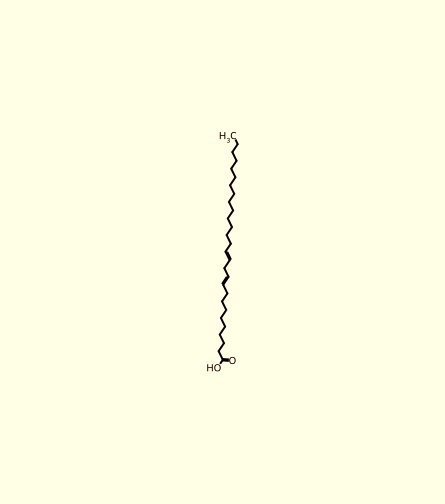 CCCCCCCCCCCCCCC=CCC=CCCCCCCCCC(=O)O